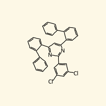 Clc1cc(Cl)cc(-c2nc(-c3ccccc3-c3ccccc3)cc(-c3ccccc3-c3ccccc3)n2)c1